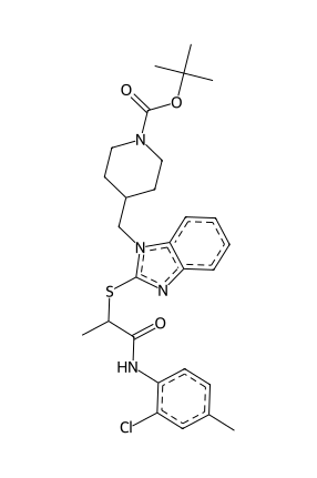 Cc1ccc(NC(=O)C(C)Sc2nc3ccccc3n2CC2CCN(C(=O)OC(C)(C)C)CC2)c(Cl)c1